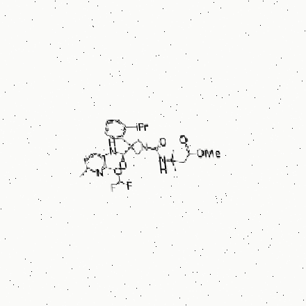 COC(=O)CC(C)(C)NC(=O)N1CC(C(=O)Nc2ccc(C)nc2OC(F)F)(c2ccccc2C(C)C)C1